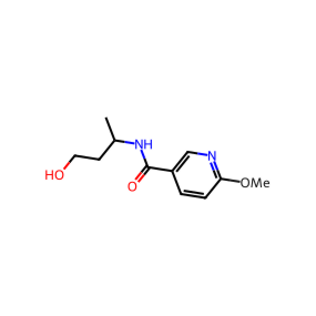 COc1ccc(C(=O)NC(C)CCO)cn1